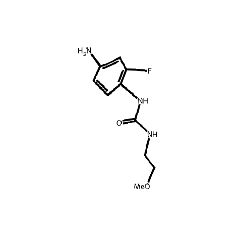 COCCNC(=O)Nc1ccc(N)cc1F